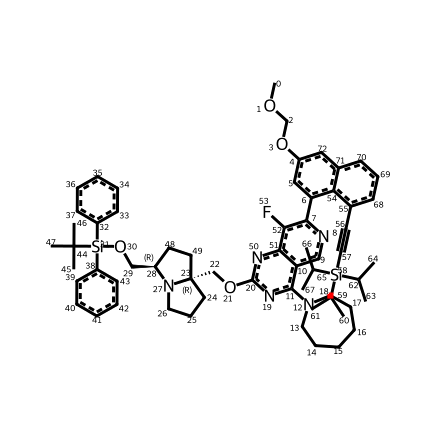 COCOc1cc(-c2ncc3c(N4CCCCCC4)nc(OC[C@]45CCCN4[C@@H](CO[Si](c4ccccc4)(c4ccccc4)C(C)(C)C)CC5)nc3c2F)c2c(C#C[Si](C(C)C)(C(C)C)C(C)C)cccc2c1